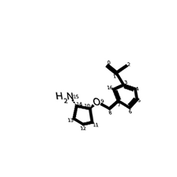 C=C(C)c1cccc(CO[C@H]2CCC[C@@H]2N)c1